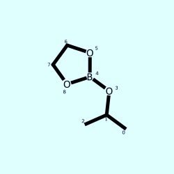 CC(C)OB1OCCO1